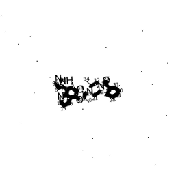 C[C@H](Oc1ccc(-c2ccn[nH]2)c2ncccc12)C(=O)N1CCN(C(=O)c2ccccc2)C[C@H]1C